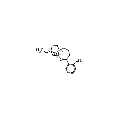 CC[C@]12CC[C@]3(CCCC(c4ccccc4C)O[C@H]3C1)O2